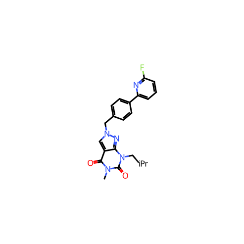 CC(C)Cn1c(=O)n(C)c(=O)c2cn(Cc3ccc(-c4cccc(F)n4)cc3)nc21